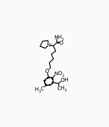 Cc1cc(OCCCCCC(C(N)=O)N2CCCC2)c([N+](=O)[O-])c(C(C)O)c1